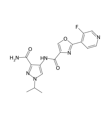 CC(C)n1cc(NC(=O)c2coc(-c3ccncc3F)n2)c(C(N)=O)n1